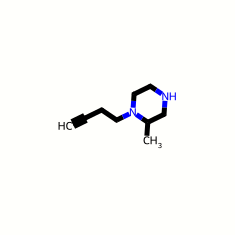 C#CCCN1CCNCC1C